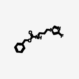 O=C(NCCCn1cnc(F)c1)OCc1ccccc1